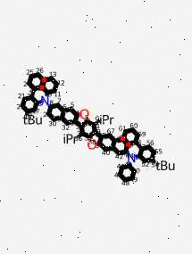 CC(C)c1c2oc3cc4cc(N(c5ccccc5)c5cc(C(C)(C)C)ccc5-c5ccccc5)ccc4cc3c2c(C(C)C)c2oc3cc4cc(N(c5ccccc5)c5cc(C(C)(C)C)ccc5-c5ccccc5)ccc4cc3c12